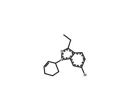 CCc1nn(C2C=CCCC2)c2cc(Br)ccc12